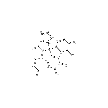 C=C/C=C\C=C(/C=C)C(C(/C=C\C=C)=C/C=C)(C(/C=C\C=C)=C/C=C)n1ccnc1